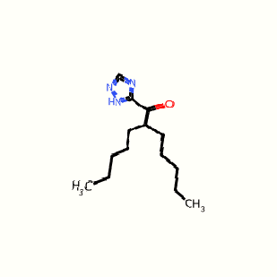 CCCCCC(CCCCC)C(=O)c1ncn[nH]1